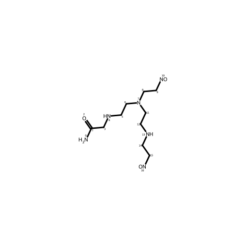 NC(=O)CNCCN(CCN=O)CCNCCN=O